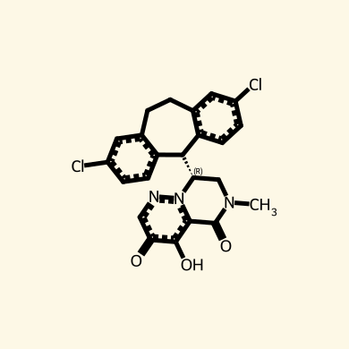 CN1C[C@@H](C2c3ccc(Cl)cc3CCc3cc(Cl)ccc32)n2ncc(=O)c(O)c2C1=O